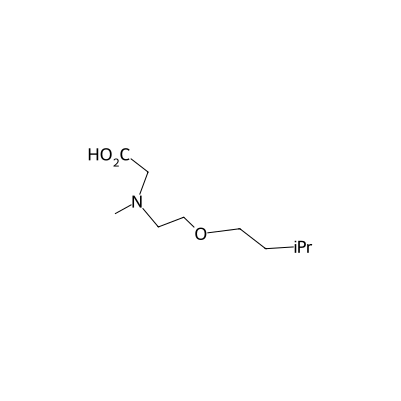 CC(C)CCOCCN(C)CC(=O)O